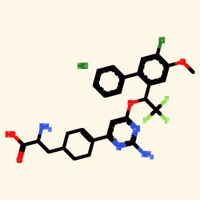 COc1cc(C(Oc2cc(C3=CCC(CC(N)C(=O)O)CC3)nc(N)n2)C(F)(F)F)c(-c2ccccc2)cc1Cl.Cl